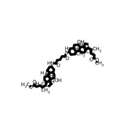 COC(=O)CC[C@@H](C)[C@H]1CC[C@H]2[C@@H]3[C@@H](O)CC4C[C@H](NC(=O)CCCC(=O)N[C@@H]5CC[C@@]6(C)C(C5)C[C@H](O)[C@H]5[C@@H]7CC[C@H]([C@H](C)CCC(=O)OC)[C@@]7(C)CC[C@@H]56)CC[C@]4(C)[C@H]3CC[C@]12C